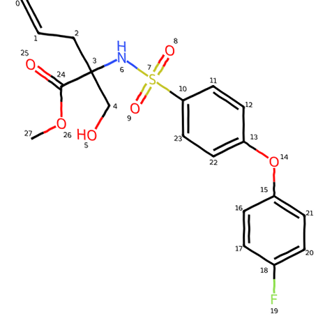 C=CCC(CO)(NS(=O)(=O)c1ccc(Oc2ccc(F)cc2)cc1)C(=O)OC